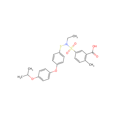 CCN(Sc1ccc(Oc2ccc(OC(C)C)cc2)cc1)S(=O)(=O)c1ccc(C)c(C(=O)O)c1